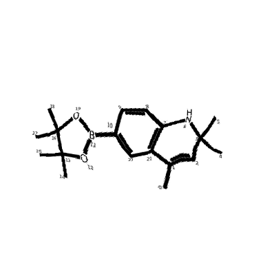 CC1=CC(C)(C)Nc2ccc(B3OC(C)(C)C(C)(C)O3)cc21